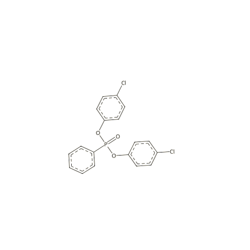 O=P(Oc1ccc(Cl)cc1)(Oc1ccc(Cl)cc1)c1ccccc1